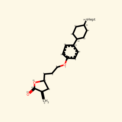 C=C1CC(CCCOc2ccc(C3CCC(CCCCCCC)CC3)cc2)OC1=O